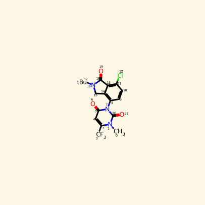 Cn1c(C(F)(F)F)cc(=O)n(-c2ccc(Cl)c3c2CN(C(C)(C)C)C3=O)c1=O